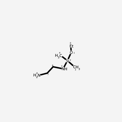 CCO[Si](C)(C)NCCN